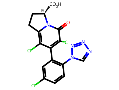 O=C(O)[C@@H]1CCc2c(Cl)c(-c3cc(Cl)ccc3-n3cnnn3)c(Cl)c(=O)n21